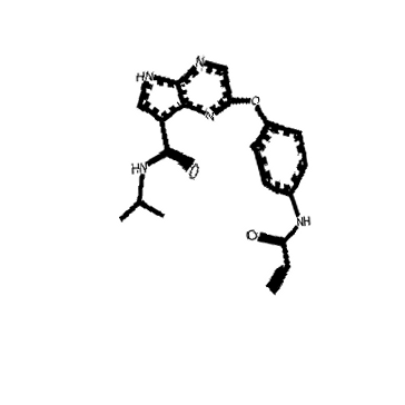 C=CC(=O)Nc1ccc(Oc2cnc3[nH]cc(C(=O)NC(C)C)c3n2)cc1